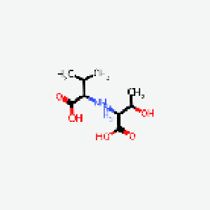 CC(C)C(N)C(=O)O.CC(O)C(N)C(=O)O